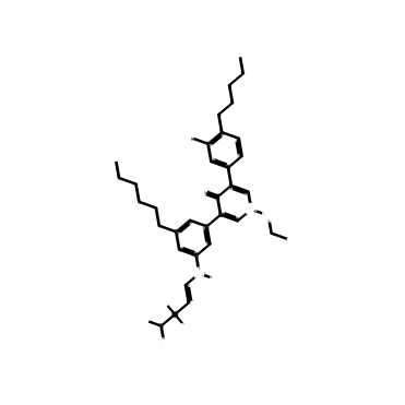 CCCCCCc1cc(-c2cn(OCC)cc(-c3ccc(CCCCC)c(I)c3)c2=O)cc([S+]([O-])C=CC(F)(F)C(F)F)c1